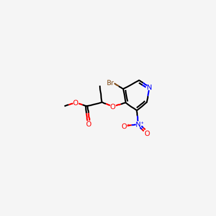 COC(=O)C(C)Oc1c(Br)cncc1[N+](=O)[O-]